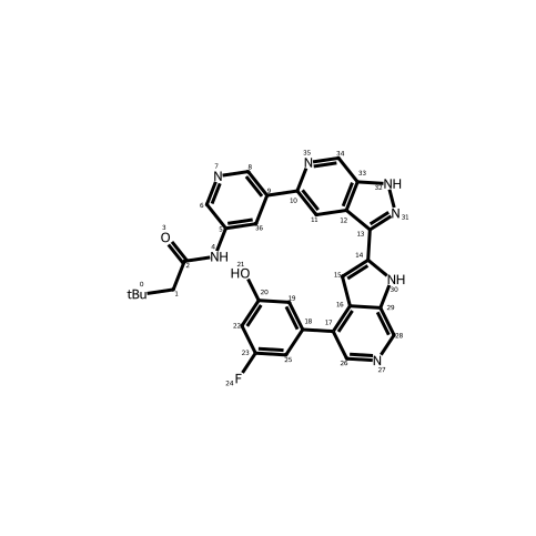 CC(C)(C)CC(=O)Nc1cncc(-c2cc3c(-c4cc5c(-c6cc(O)cc(F)c6)cncc5[nH]4)n[nH]c3cn2)c1